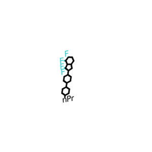 CCCC1CCC(C2CCC(C3CC4CCC(F)C(F)C4C3(F)F)CC2)CC1